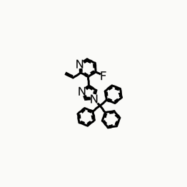 C=Cc1nccc(F)c1-c1cn(C(c2ccccc2)(c2ccccc2)c2ccccc2)cn1